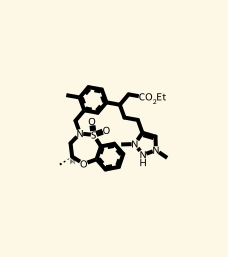 CCOC(=O)CC(CCC1=CN(C)NN1C)c1ccc(C)c(CN2C[C@@H](C)Oc3ccccc3S2(=O)=O)c1